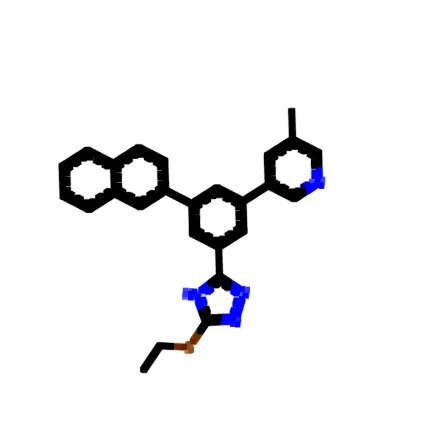 CCSc1nnc(-c2cc(-c3cncc(C)c3)cc(-c3ccc4ccccc4c3)c2)[nH]1